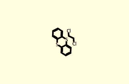 ClCCCl.c1ccc2c(c1)Sc1ccccc1S2